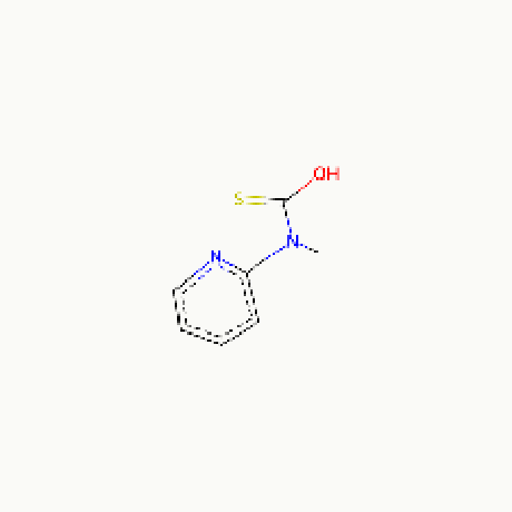 CN(C(O)=S)c1ccccn1